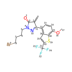 C=C1C(=O)N(CCCCBr)N=C1c1ccc(OC)c2sc(C(F)(F)F)cc12